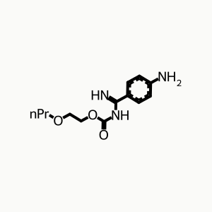 CCCOCCOC(=O)NC(=N)c1ccc(N)cc1